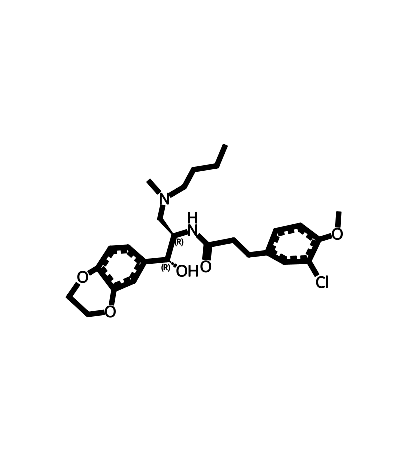 CCCCN(C)C[C@@H](NC(=O)CCc1ccc(OC)c(Cl)c1)[C@H](O)c1ccc2c(c1)OCCO2